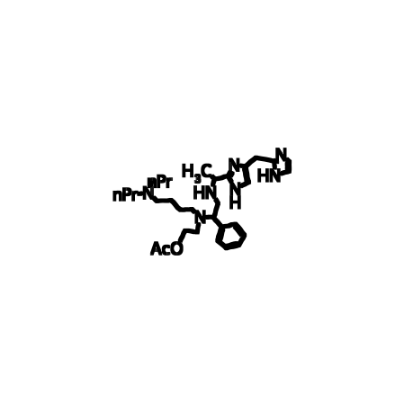 CCCN(CCC)CCCCN(CCOC(C)=O)C(CNC(C)c1nc(Cc2ncc[nH]2)c[nH]1)c1ccccc1